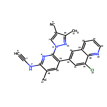 C#CNc1nc(-n2cc(C#N)c(C)n2)c(-c2cc(Cl)c3ncccc3c2)cc1C(C)=O